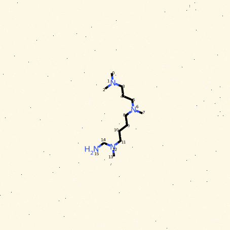 CN(C)CCCN(C)CCCCN(C)CN